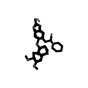 COc1cc2nccc(Oc3cc4sc(N)nc4cc3CC(F)N3CCCCC3)c2cc1OC